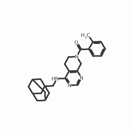 Cc1ccccc1C(=O)N1CCc2c(ncnc2NCC23CC4CC(CC(C4)C2)C3)C1